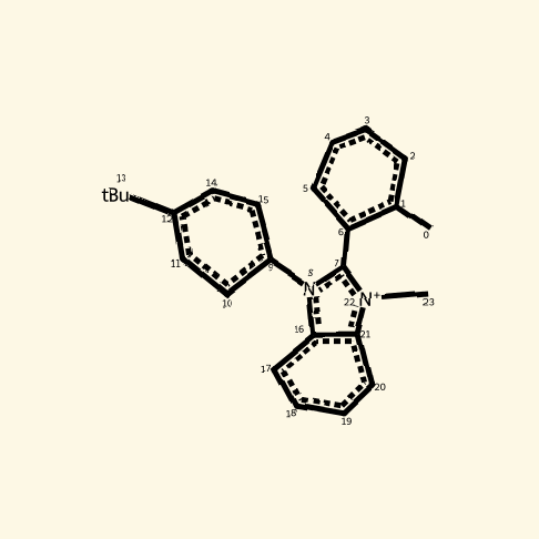 Cc1ccccc1-c1n(-c2ccc(C(C)(C)C)cc2)c2ccccc2[n+]1C